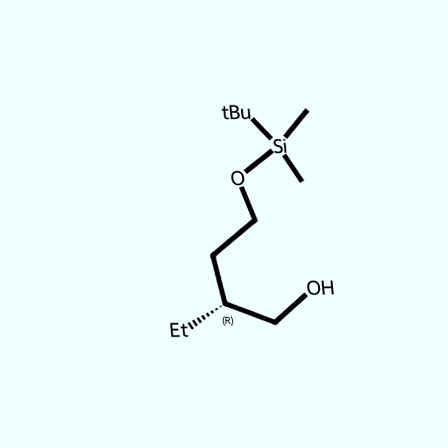 CC[C@@H](CO)CCO[Si](C)(C)C(C)(C)C